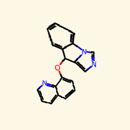 c1ccc2c(c1)C(Oc1cccc3cccnc13)c1cncn1-2